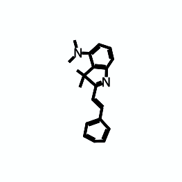 CN(C)c1cccc2c1C(C)(C)C(C=Cc1ccccc1)=N2